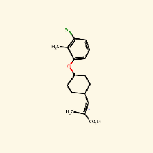 CCOC(=O)/C(C)=C/C1CCC(Oc2cccc(Br)c2C)CC1